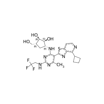 Cc1nc(NCC(F)(F)F)nc(N[C@@H]2C[C@H](CO)[C@@H](O)[C@H]2O)c1-c1nc2c(C3CCC3)nccc2s1